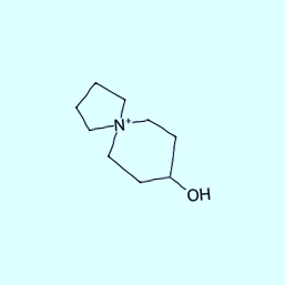 OC1CC[N+]2(CCCC2)CC1